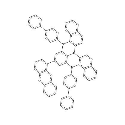 c1ccc(-c2ccc(N3c4cc(-c5cccc6cc7ccccc7cc56)cc5c4B(c4ccc6ccccc6c43)c3ccc4ccccc4c3N5c3ccc(-c4ccccc4)cc3)cc2)cc1